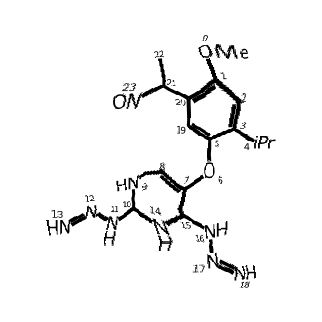 COc1cc(C(C)C)c(OC2=CNC(NN=N)NC2NN=N)cc1C(C)N=O